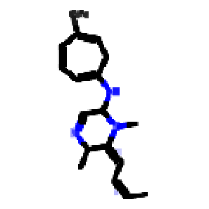 C/C=C\C=C1/C(C)N=CC(NC2=CC=CC(OC)=CC2)N1C